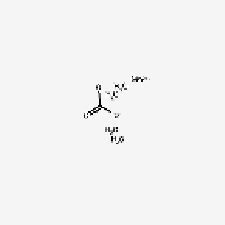 O.O.O.O.O=C([O-])[O-].[Mn+2]